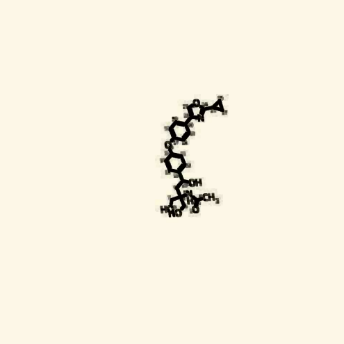 CC(=O)NC(CO)(CO)CC(O)c1ccc(Oc2ccc(-c3coc(C4CC4)n3)cc2)cc1